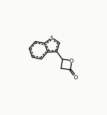 O=C1CC(c2csc3ccccc23)O1